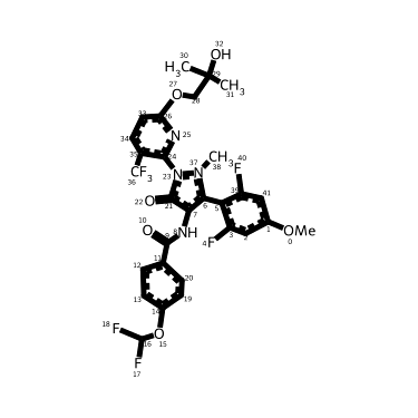 COc1cc(F)c(-c2c(NC(=O)c3ccc(OC(F)F)cc3)c(=O)n(-c3nc(OCC(C)(C)O)ccc3C(F)(F)F)n2C)c(F)c1